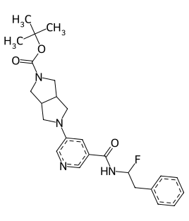 CC(C)(C)OC(=O)N1CC2CN(c3cncc(C(=O)NC(F)Cc4ccccc4)c3)CC2C1